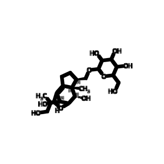 CC(CO)[C@H]1C2=C3CC[C@@H](COC4OC(CO)C(O)C(O)C4O)[C@]3(C)[C@H](O)C1OC2O